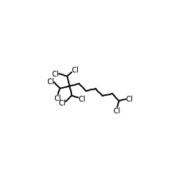 ClC(Cl)CCCCCC(C(Cl)Cl)(C(Cl)Cl)C(Cl)Cl